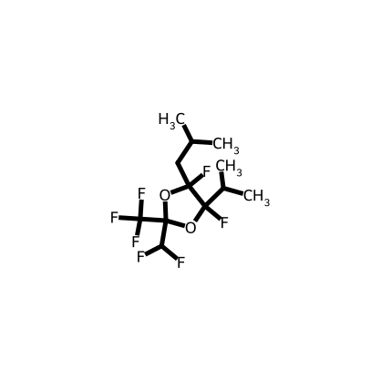 CC(C)CC1(F)OC(C(F)F)(C(F)(F)F)OC1(F)C(C)C